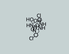 O=C(Nc1ccc(Cl)cc1)NC(Cc1ccc(Cl)cc1)c1noc(NC(CO)CO)n1